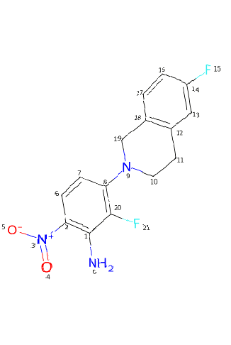 Nc1c([N+](=O)[O-])ccc(N2CCc3cc(F)ccc3C2)c1F